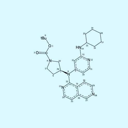 CC(C)(C)OC(=O)N1CC[C@H](N(c2ccnc(NC3CCCCC3)c2)c2nccc3cnccc23)C1